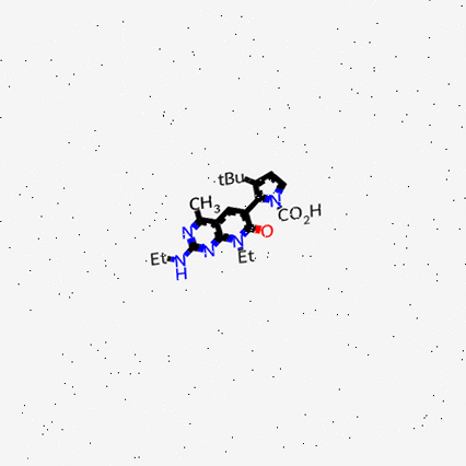 CCNc1nc(C)c2cc(-c3c(C(C)(C)C)ccn3C(=O)O)c(=O)n(CC)c2n1